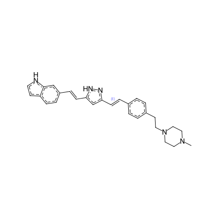 CN1CCN(CCc2ccc(/C=C/c3cc(C=Cc4ccc5cc[nH]c5c4)[nH]n3)cc2)CC1